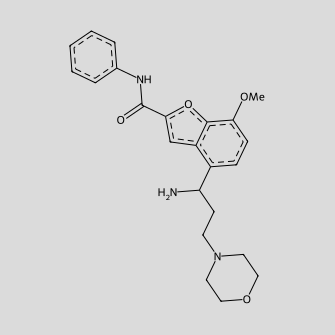 COc1ccc(C(N)CCN2CCOCC2)c2cc(C(=O)Nc3ccccc3)oc12